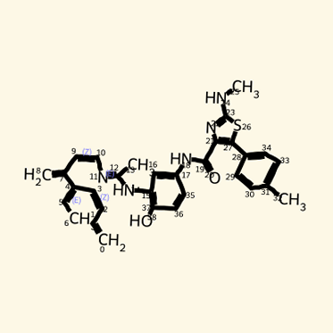 C=C/C=C\C(=C/C)C(=C)/C=C\N=C(/C)Nc1cc(NC(=O)c2nc(NC)sc2-c2ccc(C)cc2)ccc1O